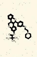 CC(C)(C)C(=O)Oc1ccc2c(c1)OCC1=C2C(c2ccc(OCCN3CCCCC3)cc2)Oc2ccccc21